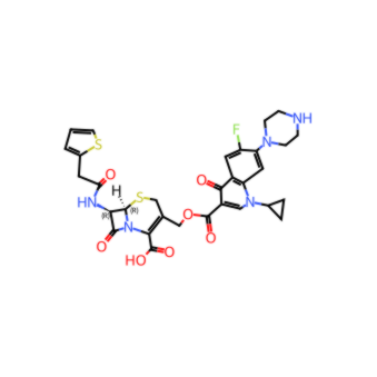 O=C(Cc1cccs1)N[C@@H]1C(=O)N2C(C(=O)O)=C(COC(=O)c3cn(C4CC4)c4cc(N5CCNCC5)c(F)cc4c3=O)CS[C@H]12